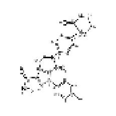 Cc1ccc(-n2nc(C(N)=O)c3c2C(=O)N(c2ccc(N4CCCCC4=O)cc2)CC3)cc1